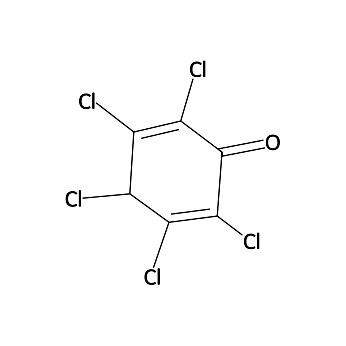 O=C1C(Cl)=C(Cl)C(Cl)C(Cl)=C1Cl